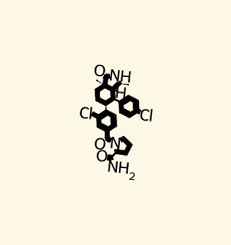 C[C@H]1NC(=O)[C@]2(C)CC[C@@H](c3ccc(C(=O)N4CCC[C@H]4C(N)=O)cc3Cl)[C@H](c3ccc(Cl)cc3)[C@H]12